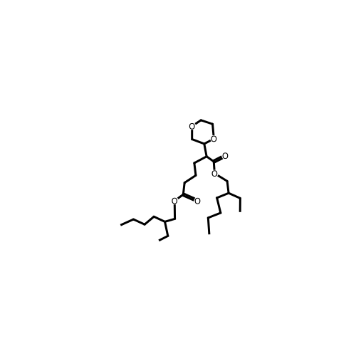 CCCCC(CC)COC(=O)CCCC(C(=O)OCC(CC)CCCC)C1COCCO1